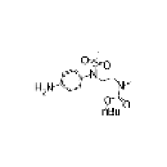 CCCCOC(=O)N(C)CCN(c1ccc(N)cc1)S(C)(=O)=O